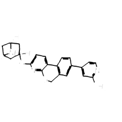 Cc1cc(-c2ccc3c(c2)COc2nc(O[C@@H]4C[C@H]5C[C@@H](C4)N5)ccc2-3)ccn1